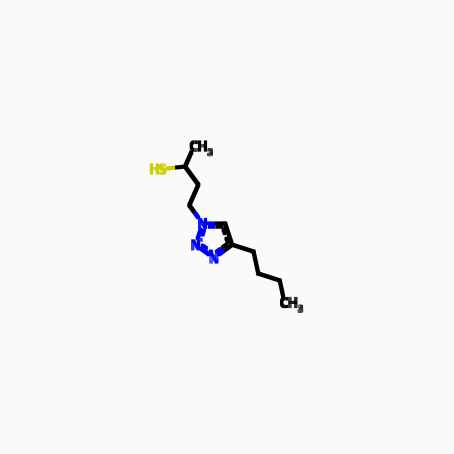 CCCCc1cn(CCC(C)S)nn1